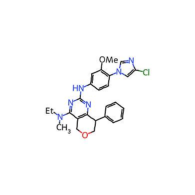 CCN(C)c1nc(Nc2ccc(-n3cnc(Cl)c3)c(OC)c2)nc2c1COCC2c1ccccc1